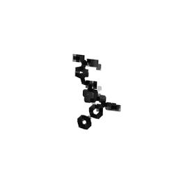 CC(=O)OC(=O)N1CC[C@H](c2ccccc2)C[C@@H]1C(=O)N[C@@H](C)C(=O)NCc1ccc(C(=N)N)s1